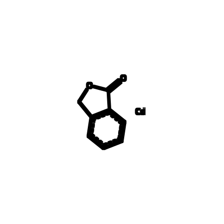 O=C1OCc2ccccc21.[Cd]